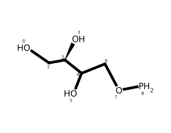 OC[C@@H](O)C(O)COP